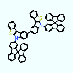 c1ccc2c(c1)-c1ccccc1C21c2ccccc2-c2ccc(-n3c4ccc(-c5ccc6c(c5)c5c7ccccc7sc5n6-c5ccc6c(c5)C5(c7ccccc7-c7ccccc75)c5ccccc5-6)cc4c4c5ccccc5sc43)cc21